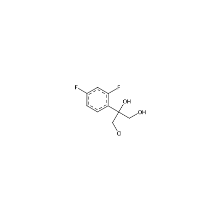 OCC(O)(CCl)c1ccc(F)cc1F